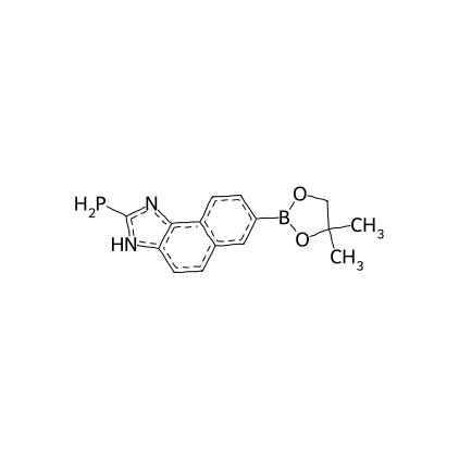 CC1(C)COB(c2ccc3c(ccc4[nH]c(P)nc43)c2)O1